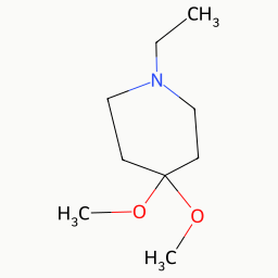 CCN1CCC(OC)(OC)CC1